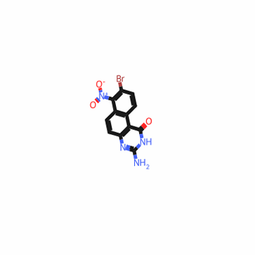 Nc1nc2ccc3c([N+](=O)[O-])c(Br)ccc3c2c(=O)[nH]1